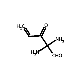 C=CC(=O)C(N)(N)C=O